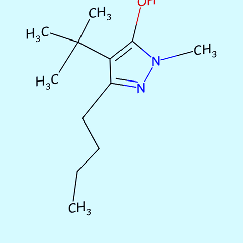 CCCCc1nn(C)c(O)c1C(C)(C)C